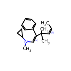 C/C=C\C(C)(C)/C(=C/N(C)C1CC1)c1ccccc1